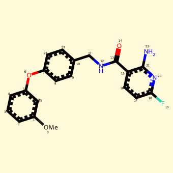 COc1cccc(Oc2ccc(CNC(=O)c3ccc(F)nc3N)cc2)c1